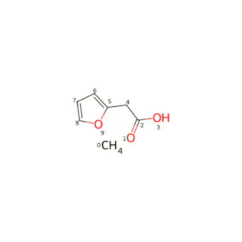 C.O=C(O)Cc1ccco1